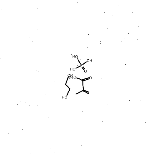 C=C(C)C(=O)OC.O=P(O)(O)O.OCCO